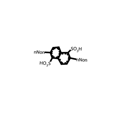 CCCCCCCCCc1ccc2c(S(=O)(=O)O)c(CCCCCCCCC)ccc2c1S(=O)(=O)O